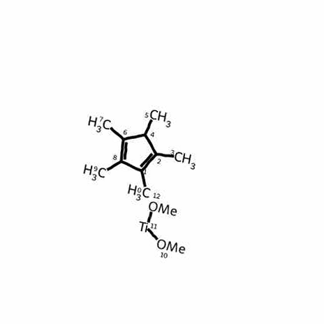 CC1=C(C)C(C)C(C)=C1C.C[O][Ti][O]C